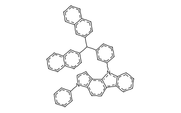 c1ccc(-n2ccc3c2ccc2c4ccccc4n(-c4cccc(C(c5ccc6ccccc6c5)c5ccc6ccccc6c5)c4)c23)cc1